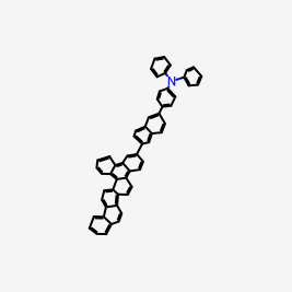 c1ccc(N(c2ccccc2)c2ccc(-c3ccc4cc(-c5ccc6c(c5)c5ccccc5c5c7ccc8c9ccccc9ccc8c7ccc65)ccc4c3)cc2)cc1